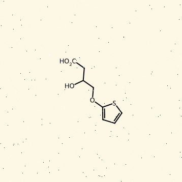 O=C(O)CC(O)COc1cccs1